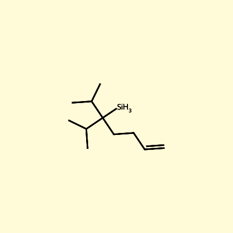 C=CCCC([SiH3])(C(C)C)C(C)C